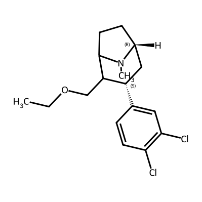 CCOCC1C2CC[C@H](C[C@@H]1c1ccc(Cl)c(Cl)c1)N2C